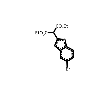 CCOC(=O)C(C(=O)OCC)c1cc2cc(Br)ccc2s1